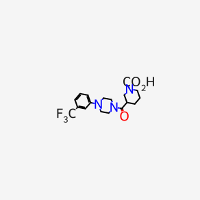 O=C(O)N1CCCC(C(=O)N2CCN(c3cccc(C(F)(F)F)c3)CC2)C1